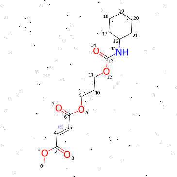 COC(=O)/C=C/C(=O)OCCCOC(=O)NC1CCCCC1